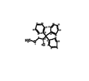 COCP(Cl)C(c1ccccc1)(c1ccccc1)c1ccccc1